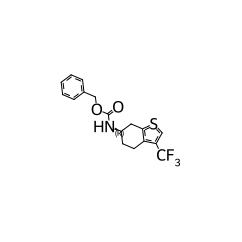 O=C(N[C@@H]1CCc2c(C(F)(F)F)csc2C1)OCc1ccccc1